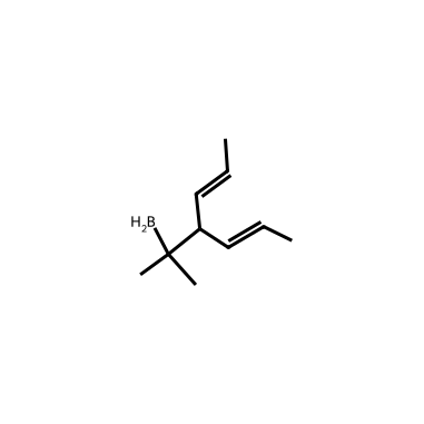 BC(C)(C)C(C=CC)C=CC